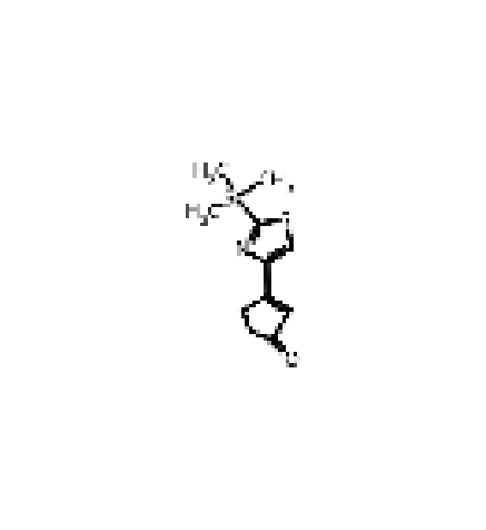 C[Si](C)(C)c1nc(C2=CC(=O)CC2)cs1